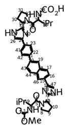 COC(=O)NC(C(=O)N1CCC[C@H]1c1nc(-c2ccc3cc(-c4ccc(-c5c[nH]c([C@@H]6CCCN6C(=O)C(NC(=O)O)C(C)C)n5)cc4)ccc3c2)c[nH]1)C(C)C